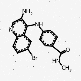 CNC(=O)c1ccc(Nc2c(N)cnc3ccc(Br)cc23)cc1